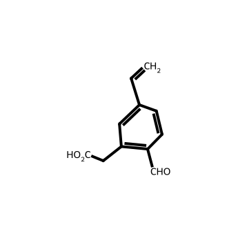 C=Cc1ccc(C=O)c(CC(=O)O)c1